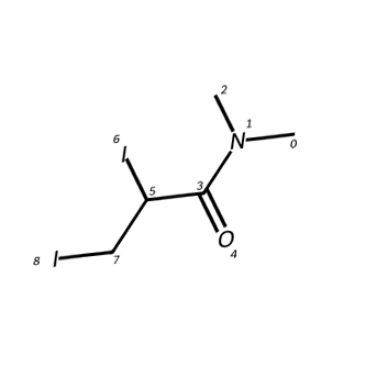 CN(C)C(=O)C(I)CI